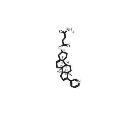 C[C@]12CC[C@H](OC(=O)CCC(N)=O)CC1=CC[C@@H]1[C@@H]2CC[C@]2(C)C(c3cccnc3)=CC[C@@H]12